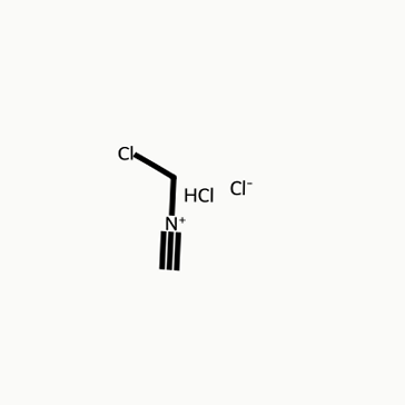 C#[N+]CCl.Cl.[Cl-]